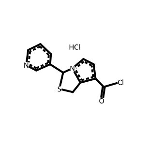 Cl.O=C(Cl)c1ccn2c1CSC2c1cccnc1